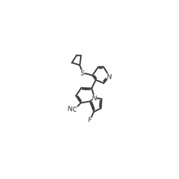 N#Cc1ccc(-c2cnccc2SC2CCC2)n2ccc(F)c12